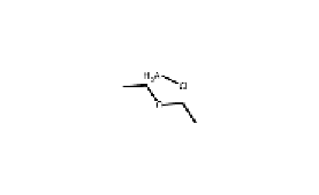 CCOCC.[AlH2][Cl]